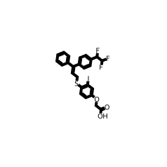 O=C(O)COc1ccc(SCC=C(c2ccccc2)c2ccc(C(F)C(F)F)cc2)c(I)c1